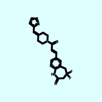 O=C1CC(F)(F)Cc2cc(/C=C/C(=O)N3CCC(=Cc4ccsn4)CC3)cnc2N1